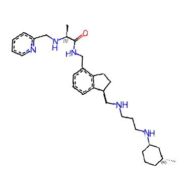 C[C@@H]1CCCC(NCCCNCC2CCc3c(CNC(=O)[C@H](C)NCc4ccccn4)cccc32)C1